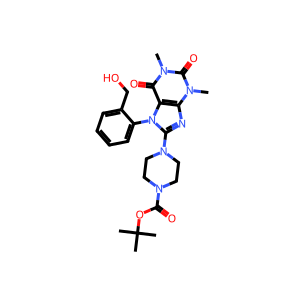 Cn1c(=O)c2c(nc(N3CCN(C(=O)OC(C)(C)C)CC3)n2-c2ccccc2CO)n(C)c1=O